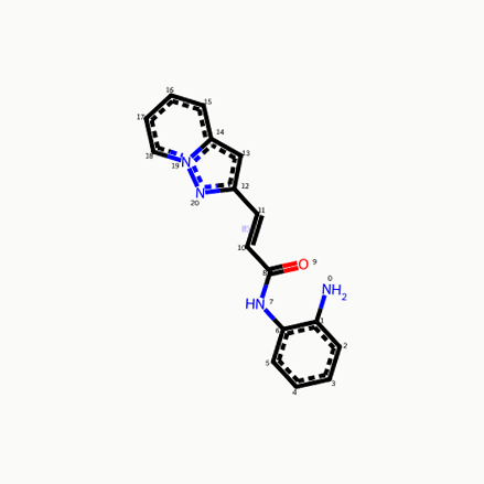 Nc1ccccc1NC(=O)/C=C/c1cc2ccccn2n1